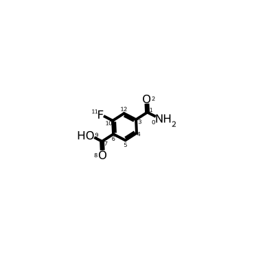 NC(=O)c1ccc(C(=O)O)c(F)c1